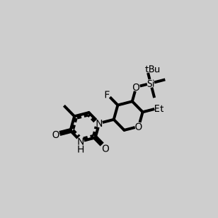 CCC1OCC(n2cc(C)c(=O)[nH]c2=O)C(F)C1O[Si](C)(C)C(C)(C)C